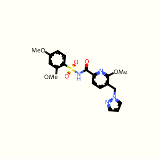 COc1ccc(S(=O)(=O)NC(=O)c2ccc(Cn3cccn3)c(OC)n2)c(OC)c1